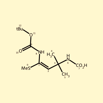 CSC(=CC(C)(C)NC(=O)O)NC(=O)OC(C)(C)C